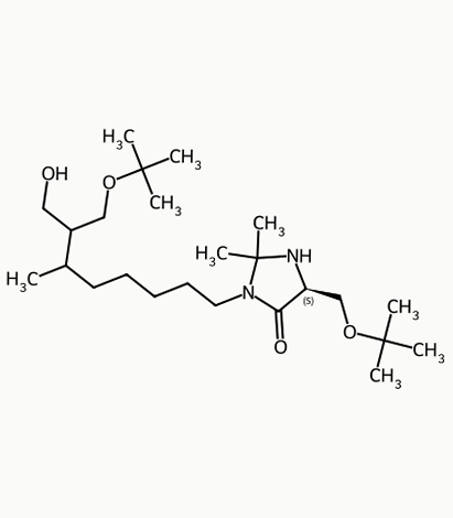 CC(CCCCCN1C(=O)[C@H](COC(C)(C)C)NC1(C)C)C(CO)COC(C)(C)C